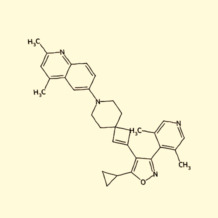 Cc1cc(C)c2cc(N3CCC4(C=C(c5c(-c6c(C)cncc6C)noc5C5CC5)C4)CC3)ccc2n1